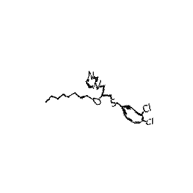 CCCCCCCCOC(CSc1ccc(Cl)c(Cl)c1)Cn1ccnc1